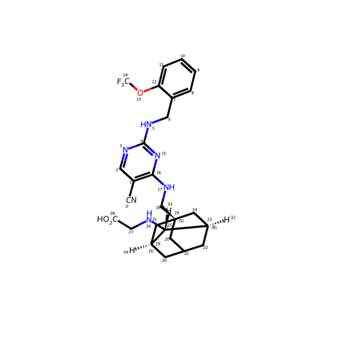 N#Cc1cnc(NCc2ccccc2OC(F)(F)F)nc1NC[C@]12CC3C[C@H](C1)[C@@H](NCC(=O)O)[C@@H](C3)C2